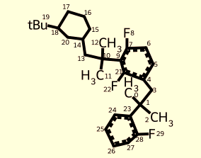 CC(C)(Cc1ccc(F)c(C(C)(C)CC2CCCC(C(C)(C)C)C2)c1F)c1ccccc1F